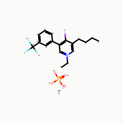 CCCCc1c[n+](CC)cc(-c2cccc(C(F)(F)F)c2)c1I.O=P([O-])([O-])O.[H+]